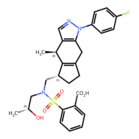 C[C@@H]1C2=C(CC[C@@H]2CN(C[C@@H](C)O)S(=O)(=O)c2ccccc2C(=O)O)Cc2c1cnn2-c1ccc(F)cc1